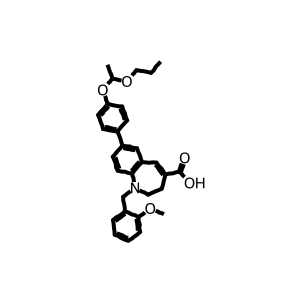 CCCOC(C)Oc1ccc(-c2ccc3c(c2)C=C(C(=O)O)CCN3Cc2ccccc2OC)cc1